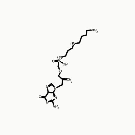 C=C(COCP(=O)(O)NCCCNCCCCN)CN1C=NC2C(=O)N=C(N)N=C21